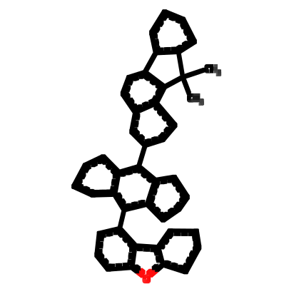 CC1(C)c2ccccc2-c2ccc3cc(-c4c5ccccc5c(-c5cccc6oc7ccccc7c56)c5ccccc45)ccc3c21